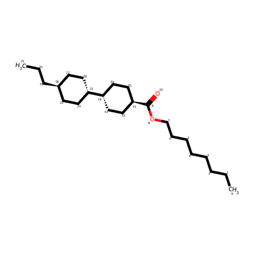 CCCCCCCCOC(=O)[C@H]1CC[C@H]([C@H]2CC[C@H](CCC)CC2)CC1